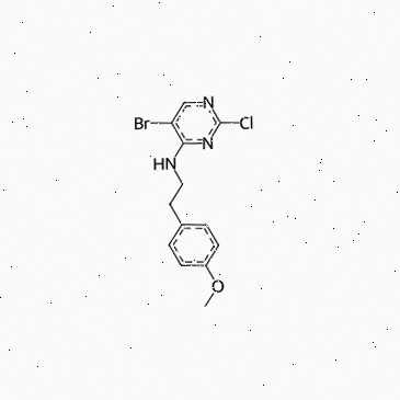 COc1ccc(CCNc2nc(Cl)ncc2Br)cc1